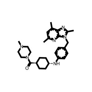 Cc1cc(C)c2nc(C)n(Cc3ccc(N[C@H]4CC[C@H](C(=O)N5CCN(C)CC5)CC4)cc3)c2n1